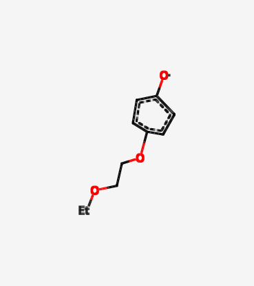 CCOCCOc1ccc([O])cc1